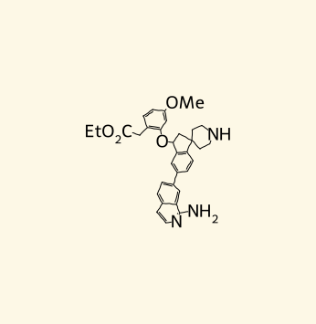 CCOC(=O)Cc1ccc(OC)cc1OC1CC2(CCNCC2)c2ccc(-c3ccc4ccnc(N)c4c3)cc21